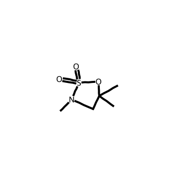 CN1CC(C)(C)OS1(=O)=O